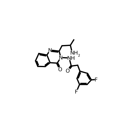 CC(N)Cc1nc2ccccc2c(=O)n1NC(=O)Cc1cc(F)cc(F)c1